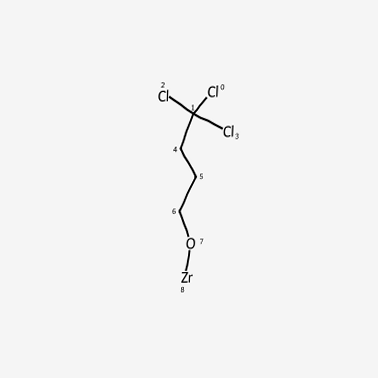 ClC(Cl)(Cl)CCC[O][Zr]